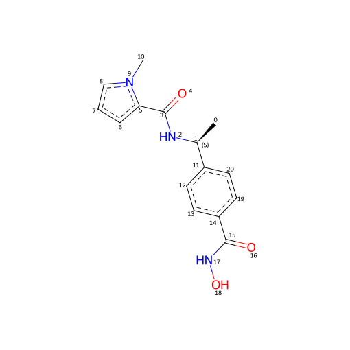 C[C@H](NC(=O)c1cccn1C)c1ccc(C(=O)NO)cc1